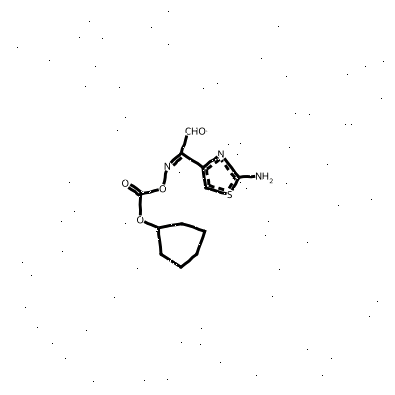 Nc1nc(C([C]=O)=NOC(=O)OC2CCCCC2)cs1